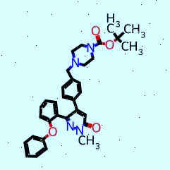 Cn1nc(-c2ccccc2Oc2ccccc2)c(-c2ccc(CN3CCN(C(=O)OC(C)(C)C)CC3)cc2)cc1=O